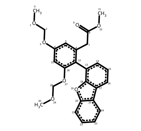 COCOc1cc(CC(=O)OC)c(-c2cccc3c2oc2ccccc23)c(OCOC)c1